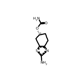 NC(=O)O[C@@H]1CCc2nc(N)sc2C1